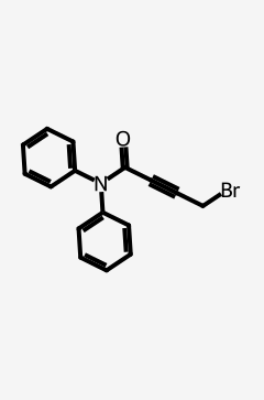 O=C(C#CCBr)N(c1ccccc1)c1ccccc1